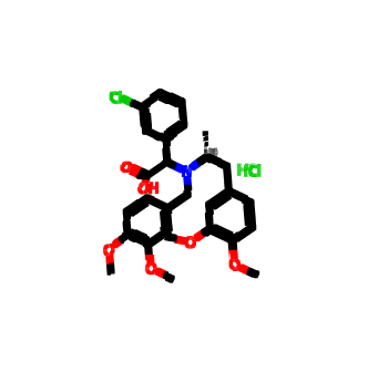 COc1ccc(C[C@@H](C)N(Cc2ccc(OC)c(OC)c2)C(C(=O)O)c2cccc(Cl)c2)cc1OC.Cl